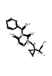 O=C(c1ccccc1)n1c(=O)ccn(CC2(C(F)F)CC2)c1=O